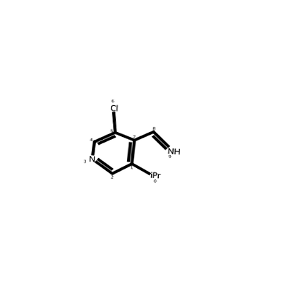 CC(C)c1cncc(Cl)c1C=N